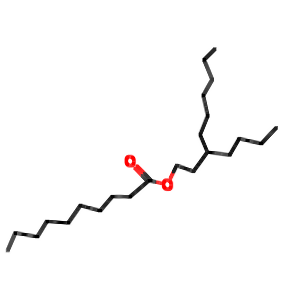 CCCCCCCCCC(=O)OCCC(CCCC)CCCCCC